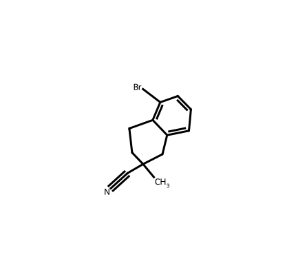 CC1(C#N)CCc2c(Br)cccc2C1